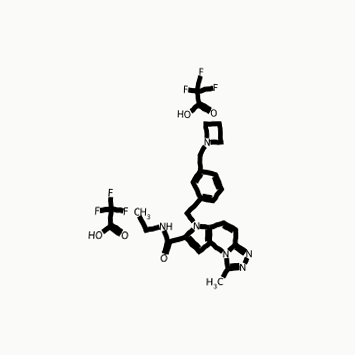 CCNC(=O)c1cc2c(ccc3nnc(C)n32)n1Cc1cccc(CN2CCC2)c1.O=C(O)C(F)(F)F.O=C(O)C(F)(F)F